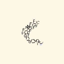 C/C=C\C(C)(CC)Oc1ccc(Oc2ccc(Oc3c(F)c(F)c(-c4nnc(-c5c(F)c(F)c(C(C)(CC)CC)c(F)c5F)o4)c(F)c3F)cc2)cc1